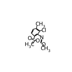 COC=Nc1c(S(C)(=O)=O)ccc(C)c1Cl